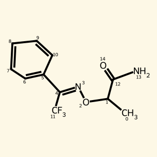 CC(ON=C(c1ccccc1)C(F)(F)F)C(N)=O